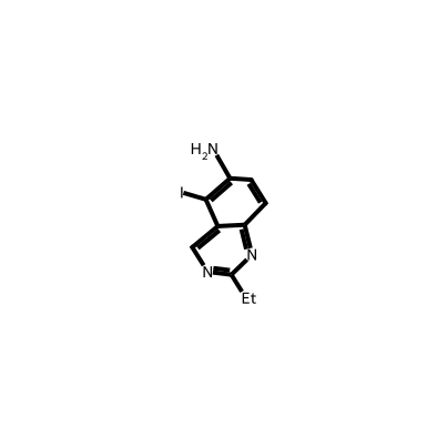 CCc1ncc2c(I)c(N)ccc2n1